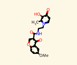 COc1ccc2occ(C(=O)NCCn3ccc(=O)c(O)c3C)c(=O)c2c1